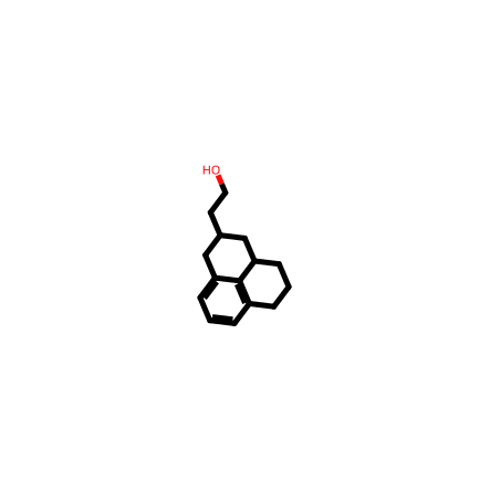 OCCC1Cc2cccc3c2C(CCC3)C1